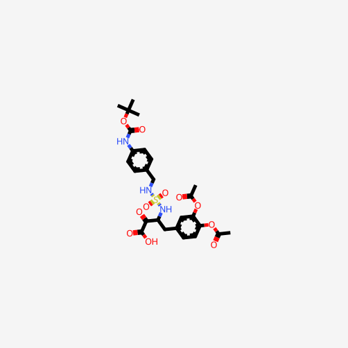 CC(=O)Oc1ccc(CC(NS(=O)(=O)NCc2ccc(NC(=O)OC(C)(C)C)cc2)C(=O)C(=O)O)cc1OC(C)=O